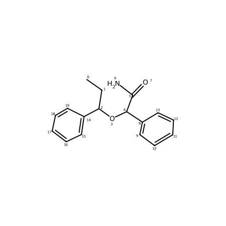 CCC(OC(C(N)=O)c1ccccc1)c1ccccc1